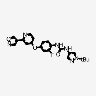 CC(C)(C)n1cc(NC(=O)Nc2ccc(Oc3ccnc(-c4cnoc4)c3)cc2F)cn1